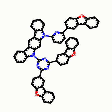 c1cc(-c2ccc3oc4ccccc4c3c2)nc(-n2c3ccccc3c3cc4c5ccccc5n(-c5nc(-c6ccc7oc8ccccc8c7c6)nc(-c6ccc7oc8ccccc8c7c6)n5)c4cc32)c1